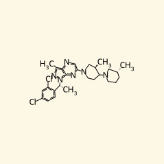 Cc1nn([C@H](C)c2ccc(Cl)cc2Cl)c2nc(N3CCC(N4CCC[C@@H](C)C4)[C@H](C)C3)cnc12